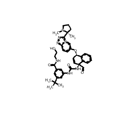 CN1CCC[C@@]1(C)c1nnc2ccc(O[C@@H]3C=C[C@](C=O)(NC(=O)Nc4cc(C(=O)NCCO)cc(C(C)(C)C)c4)c4ccccc43)cn12